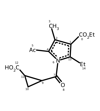 CCOC(=O)c1c(C)c(C(C)=O)n(C(=O)C2CC2C(=O)O)c1CC